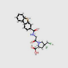 O=C(NCC(=O)N1C[C@@](F)(CF)C[C@H]1C(=O)O)c1ccc2c(c1)sc1ccccc12